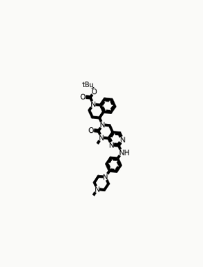 CN1CCN(c2ccc(Nc3ncc4c(n3)N(C)C(=O)N(C3CCN(C(=O)OC(C)(C)C)c5ccccc53)C4)cc2)CC1